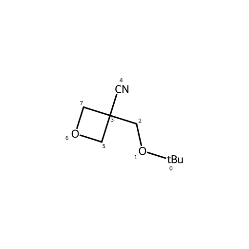 CC(C)(C)OCC1(C#N)COC1